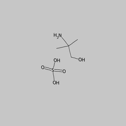 CC(C)(N)CO.O=S(=O)(O)O